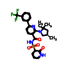 C[C@@H]1CN(c2nc(-c3cccc(C(F)(F)F)c3)ccc2C(=O)NS(=O)(=O)c2ccc[nH]c2=O)C(C)(C)C1